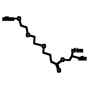 CCCCCCCCCOCCOCCOCCCC(=O)OCC(CCCC)CCCCCC